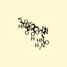 CSCC(=O)NC1C(=O)N2C(C(=O)O)=C(CSc3nnnn3CCNC(N)=O)CS[C@H]12